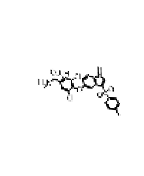 Cc1ccc(S(=O)(=O)c2c[nH]c3ccc(Oc4c(Cl)cc([C@H](N)C(=O)O)cc4Cl)cc23)cc1